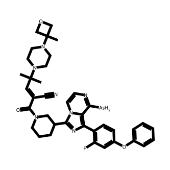 CC(C)(C=C(C#N)C(=O)N1CCCC(c2nc(-c3ccc(Oc4ccccc4)cc3F)c3c([AsH2])nccn23)C1)N1CCN(C2(C)COC2)CC1